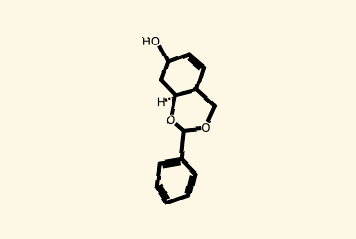 OC1C=CC2COC(c3ccccc3)O[C@H]2C1